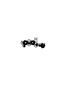 COc1ccc(S(=O)(=O)c2ccc(NC(=O)NCc3cccnc3)cc2)cc1OC